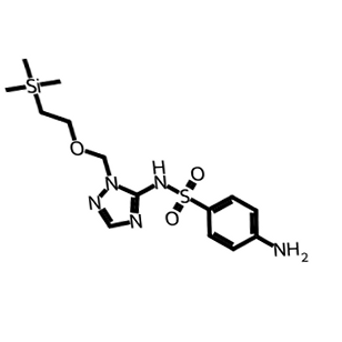 C[Si](C)(C)CCOCn1ncnc1NS(=O)(=O)c1ccc(N)cc1